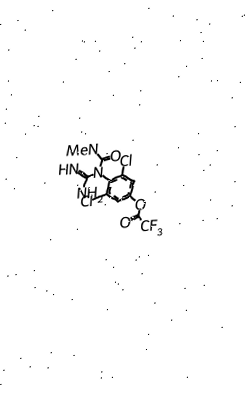 CNC(=O)N(C(=N)N)c1c(Cl)cc(OC(=O)C(F)(F)F)cc1Cl